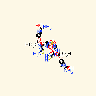 C[n+]1c2ccc(OC[C@H](O/N=C(\C(=O)N[C@@H]3C(=O)N(OS(=O)(=O)ON4C(=O)[C@@H](NC(=O)/C(=N\O[C@@H](COc5ccc6c(c5)cn([C@@H](CN)CO)[n+]6C)C(=O)O)c5csc(N)n5)C4(C)C)C3(C)C)c3csc(N)n3)C(=O)O)cc2cn1[C@@H](CN)CO